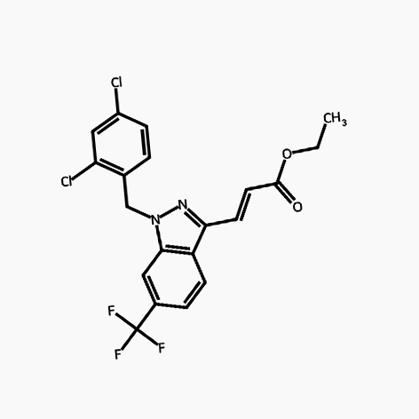 CCOC(=O)C=Cc1nn(Cc2ccc(Cl)cc2Cl)c2cc(C(F)(F)F)ccc12